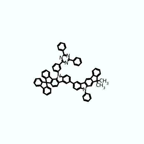 CC1(C)c2ccccc2-c2cc3c4cc(-c5ccc6c(c5)c5ccc7c(c5n6-c5cccc(-c6nc(-c8ccccc8)nc(-c8ccccc8)n6)c5)-c5ccccc5C75c6ccccc6-c6ccccc65)ccc4n(-c4ccccc4)c3cc21